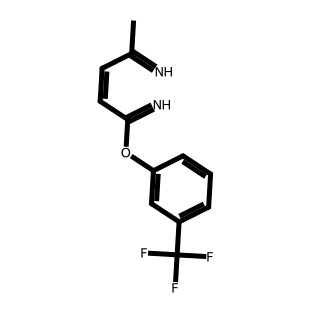 CC(=N)/C=C\C(=N)Oc1cccc(C(F)(F)F)c1